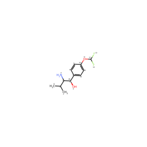 CC(C)C(N)[C@H](O)c1ccc(OC(F)F)cc1